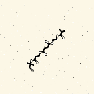 C=C(C)C(=O)OCCOC(=O)CCC(=O)OCCC(=O)OC(C)(C)CBr